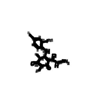 Cn1c(Nc2ccc(I)cc2F)c(C(=O)NN)c(=O)n(C)c1=O